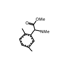 CNC(C(=O)OC)c1cc(C)ccc1C